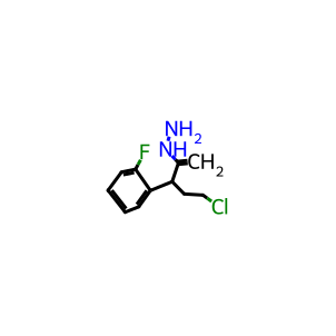 C=C(NN)C(CCCl)c1ccccc1F